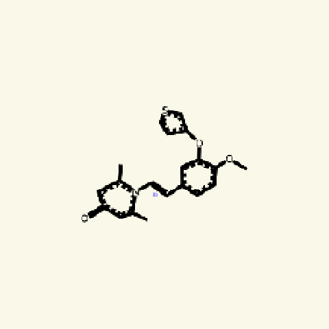 COc1ccc(/C=C/n2c(C)cc(=O)cc2C)cc1Oc1ccsc1